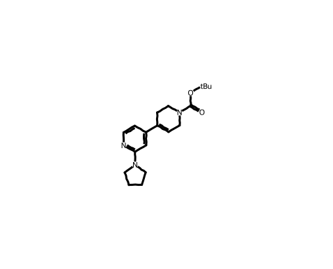 CC(C)(C)OC(=O)N1CC=C(c2ccnc(N3CCCC3)c2)CC1